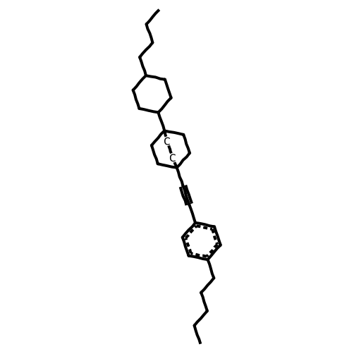 CCCCCc1ccc(C#CC23CCC(C4CCC(CCCC)CC4)(CC2)CC3)cc1